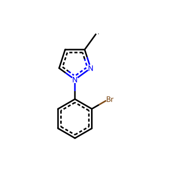 [CH2]c1ccn(-c2ccccc2Br)n1